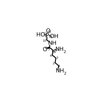 NCCCC[C@H](N)C(=O)NCP(=O)(O)O